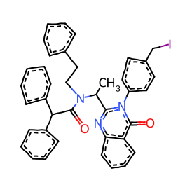 CC(c1nc2ccccc2c(=O)n1-c1ccc(CI)cc1)N(CCc1ccccc1)C(=O)C(c1ccccc1)c1ccccc1